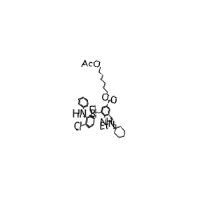 CCN(Cc1cc(C(=O)OCCCCCCCOC(C)=O)cc(Br)c1N)C1CCCCC1.Clc1cccc(Cl)c1Nc1ccccc1